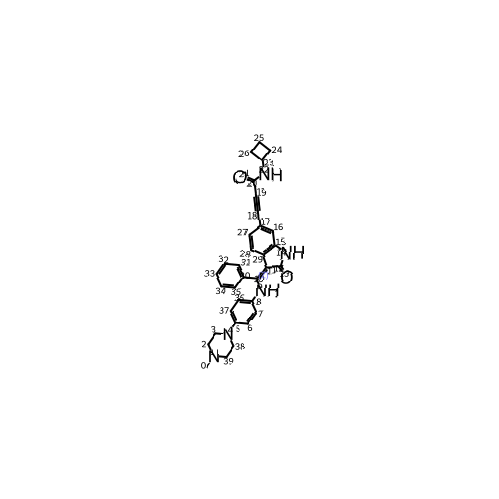 CN1CCN(c2ccc(N/C(=C3\C(=O)Nc4cc(C#CC(=O)NC5CCC5)ccc43)c3ccccc3)cc2)CC1